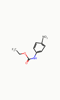 O=C(Nc1ccc([N+](=O)[O-])cc1)OCC(F)(F)F